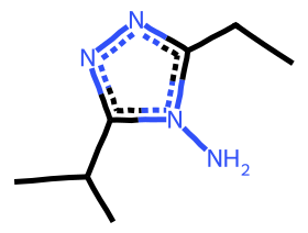 CCc1nnc(C(C)C)n1N